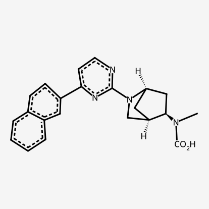 CN(C(=O)O)[C@@H]1C[C@H]2C[C@@H]1CN2c1nccc(-c2ccc3ccccc3c2)n1